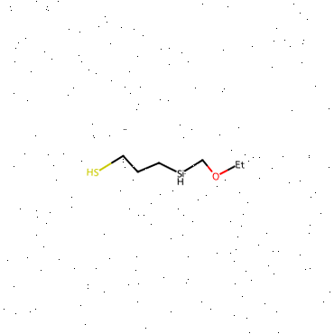 CCOC[SiH]CCCS